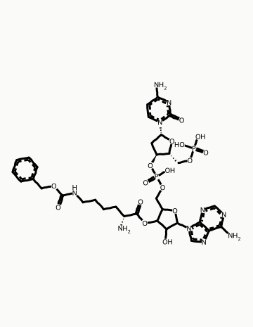 Nc1ccn([C@H]2C[C@H](OP(=O)(O)OCC3OC(n4cnc5c(N)ncnc54)C(O)C3OC(=O)[C@H](N)CCCCNC(=O)OCc3ccccc3)[C@@H](COP(=O)(O)O)O2)c(=O)n1